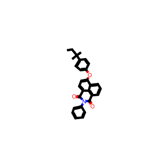 CCC(C)(C)c1ccc(Oc2ccc3c4c(cccc24)C(=O)N(c2ccccc2)C3=O)cc1